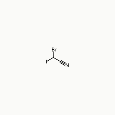 N#CC(Br)I